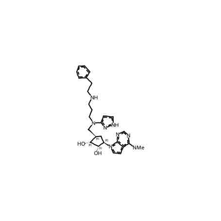 CNc1ncnc2c1ccn2[C@@H]1C[C@H](CN(CCCNCCc2ccccc2)c2cc[nH]n2)[C@@H](O)[C@H]1O